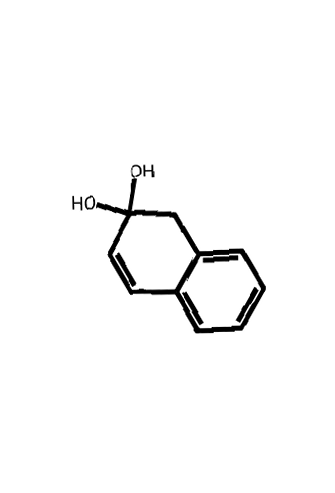 OC1(O)C=Cc2ccccc2C1